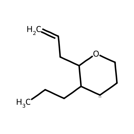 C=CCC1OCC[C]C1CCC